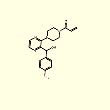 C=CC(=O)N1CCN(c2nccnc2C(O)c2ccc(C(F)(F)F)cc2)CC1